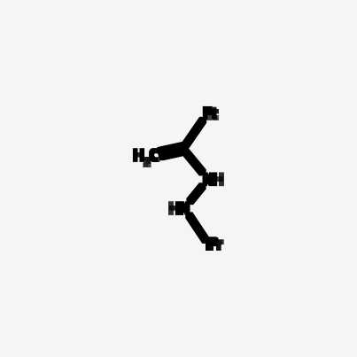 C=C(CC)NNC(C)C